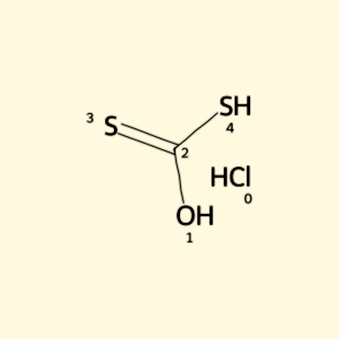 Cl.OC(=S)S